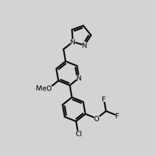 COc1cc(Cn2cccn2)cnc1-c1ccc(Cl)c(OC(F)F)c1